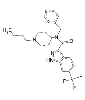 CCCCN1CCC(N(Cc2ccccc2)C(=O)c2n[nH]c3cc(C(F)(F)F)ccc23)CC1